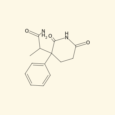 CC(C(N)=O)C1(c2ccccc2)CCC(=O)NC1=O